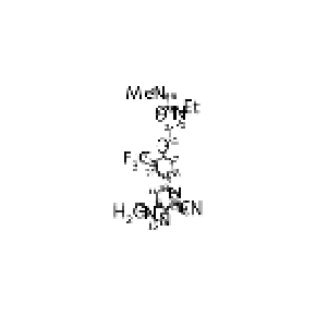 CCN(CCCOc1ccc(-c2cc3c(ncn3C)c(C#N)n2)cc1C(F)(F)F)C(=O)CNC